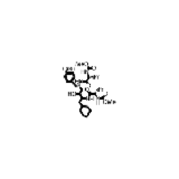 COC(=O)N[C@H](C(=O)NC(CC1CCCCC1)C(O)CN(Cc1ccc(OCC(C)C)cc1)NC(=O)[C@@H](NC(=O)OC)C(C)C)C(C)C